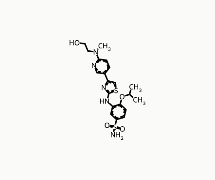 CC(C)Oc1ccc(S(N)(=O)=O)cc1Nc1nc(-c2ccc(N(C)CCO)nc2)cs1